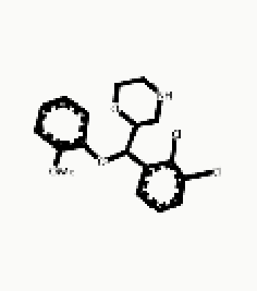 COc1ccccc1OC(c1cccc(Cl)c1Cl)C1CNCCO1